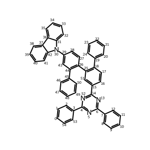 c1ccc(-c2nc(-c3ccccc3)nc(-c3ccc(-c4ccccc4)c(-c4ccc(-n5c6ccccc6c6ccccc65)cc4-c4ccccc4)c3)n2)cc1